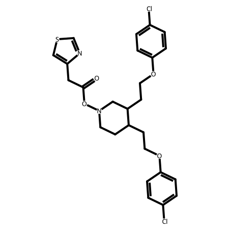 O=C(Cc1cscn1)ON1CCC(CCOc2ccc(Cl)cc2)C(CCOc2ccc(Cl)cc2)C1